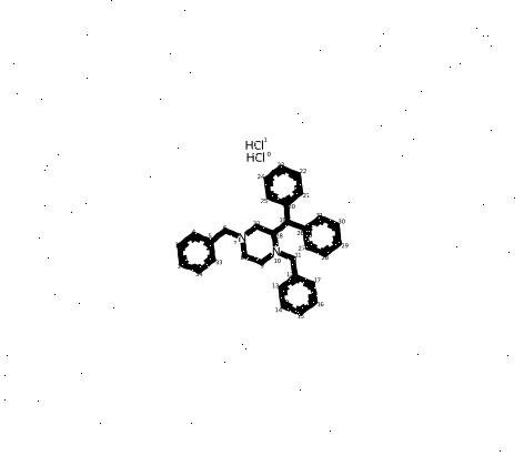 Cl.Cl.c1ccc(CN2CCN(Cc3ccccc3)C(C(c3ccccc3)c3ccccc3)C2)cc1